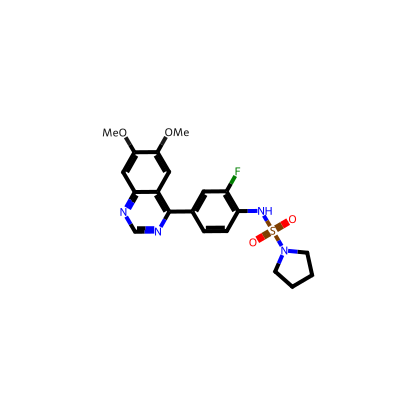 COc1cc2ncnc(-c3ccc(NS(=O)(=O)N4CCCC4)c(F)c3)c2cc1OC